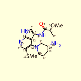 CO[C@@H](C)C(=O)Nc1c[nH]c2ncc(SC)c(N3CCC[C@@H](N)C3)c12